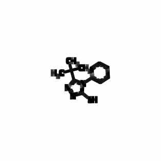 CC(C)(C)c1nnc(S)n1-c1ccccc1